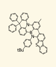 Cc1cc2c3c(c1)N1c4ccccc4C(c4ccccc4)(c4ccccc4)c4cccc(c41)B3N(c1ccc(C(C)(C)C)cc1)c1c-2ccc2c1sc1ccccc12